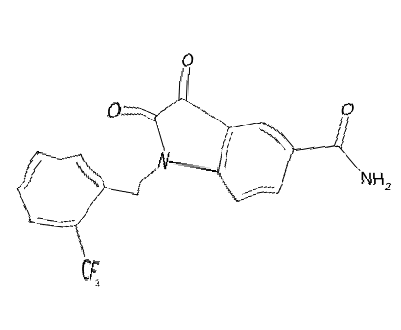 NC(=O)c1ccc2c(c1)C(=O)C(=O)N2Cc1ccccc1C(F)(F)F